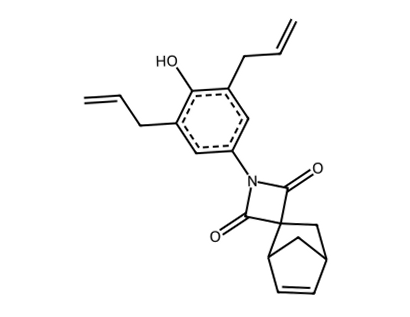 C=CCc1cc(N2C(=O)C3(CC4C=CC3C4)C2=O)cc(CC=C)c1O